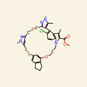 COC(=O)c1c(C)c2c3c(Cl)ccc2n1CCCOc1cc(cc2c1CCC2)SCc1cc(nn1C)CSCc1nn(C)c(C)c1-3